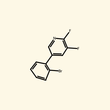 Fc1cc(-c2ccc[c]c2Br)cnc1F